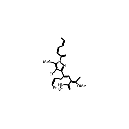 C=C(NC#N)C(/C=C(\C/C=C\CC)c1nn(C(=C)/C=C\C=C/C)c(NC)c1CC)=C(/C)OC